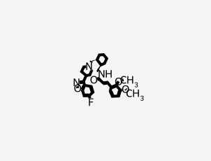 COc1cccc(/C=C/C(=O)NC[C@@H]2CCCC[C@H]2CN2CCC(c3noc4cc(F)ccc34)CC2)c1OC